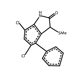 CSC1C(=O)Nc2c(Cl)cc(Cl)c(-c3ccccc3)c21